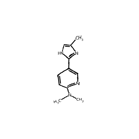 Cc1c[nH]c(-c2ccc(N(C)C)nc2)n1